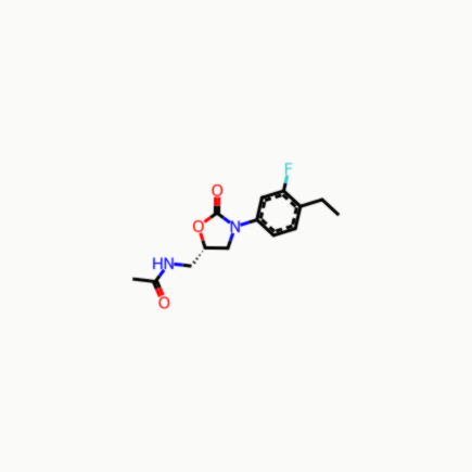 CCc1ccc(N2C[C@H](CNC(C)=O)OC2=O)cc1F